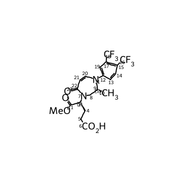 COC(=O)[C@H](CCC(=O)O)N1C[C@H](C)N(c2ccc(C(F)(F)F)c(C(F)(F)F)c2)C=CC1=O